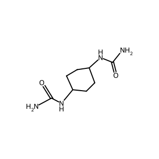 NC(=O)NC1CCC(NC(N)=O)CC1